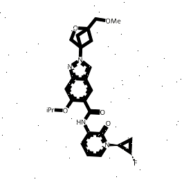 COCC12CC(n3cc4cc(C(=O)Nc5cccn([C@H]6C[C@@H]6F)c5=O)c(OC(C)C)cc4n3)(CO1)C2